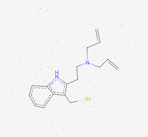 C=CCN(CC=C)CCc1[nH]c2ccccc2c1CS